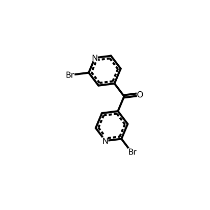 O=C(c1ccnc(Br)c1)c1ccnc(Br)c1